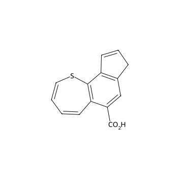 O=C(O)c1cc2c(c3c1C=CC=CS3)C=CC2